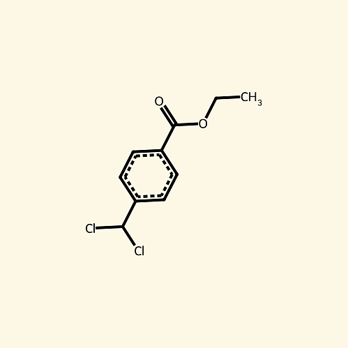 CCOC(=O)c1ccc(C(Cl)Cl)cc1